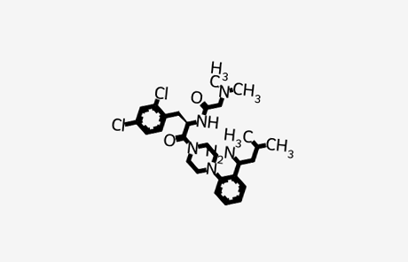 CC(C)CC(N)c1ccccc1N1CCN(C(=O)[C@@H](Cc2ccc(Cl)cc2Cl)NC(=O)CN(C)C)CC1